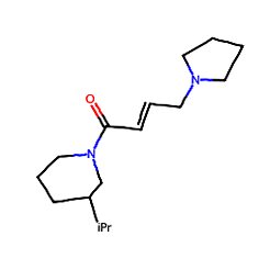 CC(C)C1CCCN(C(=O)/C=C/CN2CCCC2)C1